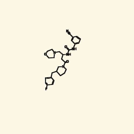 N#Cc1cccc(NC(=O)NC(CC(=O)N2CCCC(Cc3ccc(F)cc3)C2)CN2CCOCC2)c1